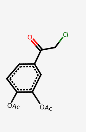 CC(=O)Oc1ccc(C(=O)CCl)cc1OC(C)=O